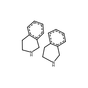 c1ccc2c(c1)CCNC2.c1ccc2c(c1)CCNC2